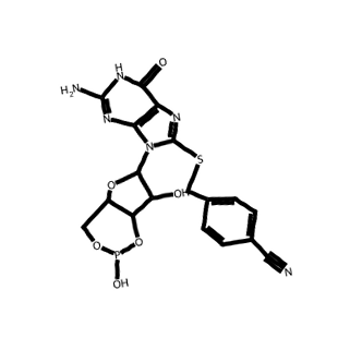 N#Cc1ccc(CSc2nc3c(=O)[nH]c(N)nc3n2C2OC3COP(O)OC3C2O)cc1